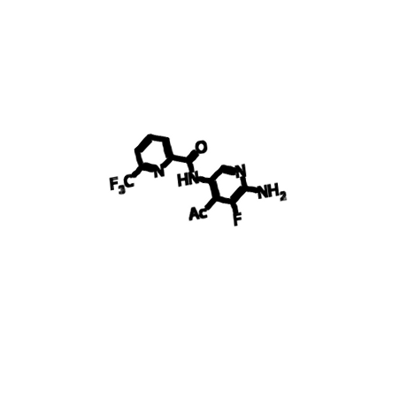 CC(=O)c1c(NC(=O)c2cccc(C(F)(F)F)n2)cnc(N)c1F